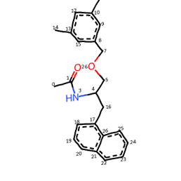 CC(=O)NC(COCc1cc(C)cc(C)c1)Cc1cccc2ccccc12